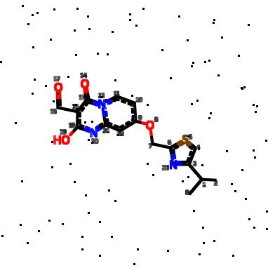 CC(C)c1csc(COc2ccn3c(=O)c(C=O)c(O)nc3c2)n1